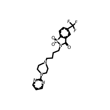 O=C1c2cc(C(F)(F)F)ccc2S(=O)(=O)N1CCCCN1CCN(c2ncccn2)CC1